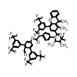 C=C1c2ccccc2Oc2c(-c3cc(C(F)(F)F)cc(C(F)(F)F)c3)cc(C(=O)N(c3ccc(CC(=O)Oc4cc(-c5cc(C(F)(F)F)cc(C(F)(F)F)c5)c(C=O)c(-c5cc(C(F)(F)F)cc(C(F)(F)F)c5)c4)cc3)[C@H](C)C(C)C(F)(F)F)c(C)c21